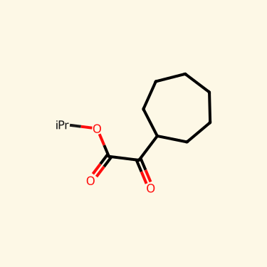 CC(C)OC(=O)C(=O)C1CCCCCC1